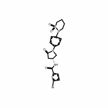 O=C(N[C@@H]1CC(=O)N(c2ccc(N3CCCCS3(=O)=O)cc2)C1)c1ccc(Br)s1